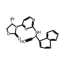 C#C[C@@H](Nc1nccc(N2C(=O)OC[C@@H]2C(C)C)n1)c1cccc2ccccc12